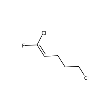 FC(Cl)=CCCCCl